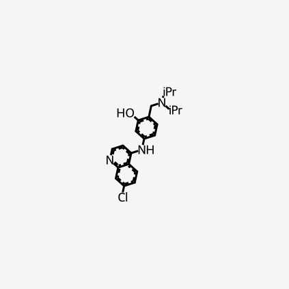 CC(C)N(Cc1ccc(Nc2ccnc3cc(Cl)ccc23)cc1O)C(C)C